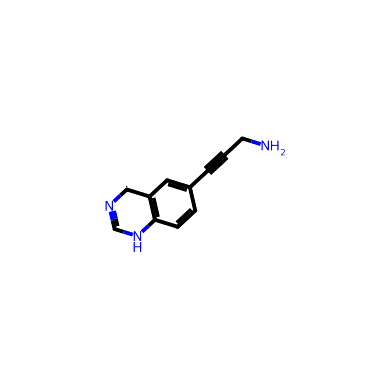 NCC#Cc1ccc2c(c1)[CH]N=CN2